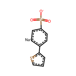 O=S(=O)([O-])c1ccc(-c2cccs2)cc1.[Na+]